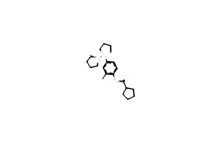 Cc1cc([N+]2(N3CCC[C@@H]3C)CCCC2)ccc1NC(=O)C1CCCC1